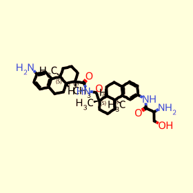 C[C@]1(C(=O)NC(=O)[C@@]2(C)CCC[C@]3(C)c4cc(NC(=O)C(N)CO)ccc4CC[C@@H]23)CCC[C@]2(C)c3cc(N)ccc3CC[C@@H]12